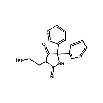 N=C1NC(c2ccccc2)(c2ccccc2)C(=O)N1CCO